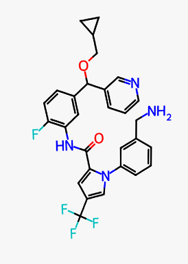 NCc1cccc(-n2cc(C(F)(F)F)cc2C(=O)Nc2cc(C(OCC3CC3)c3cccnc3)ccc2F)c1